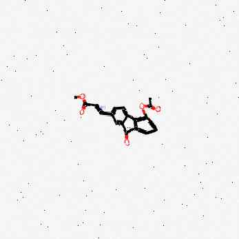 COC(=O)/C=C/c1ccc2c(c1)C(=O)c1cccc(OC(C)=O)c1-2